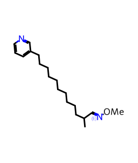 CO/N=C/C(C)CCCCCCCCCCc1cccnc1